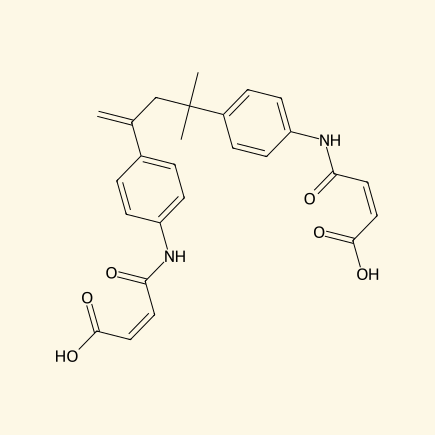 C=C(CC(C)(C)c1ccc(NC(=O)/C=C\C(=O)O)cc1)c1ccc(NC(=O)/C=C\C(=O)O)cc1